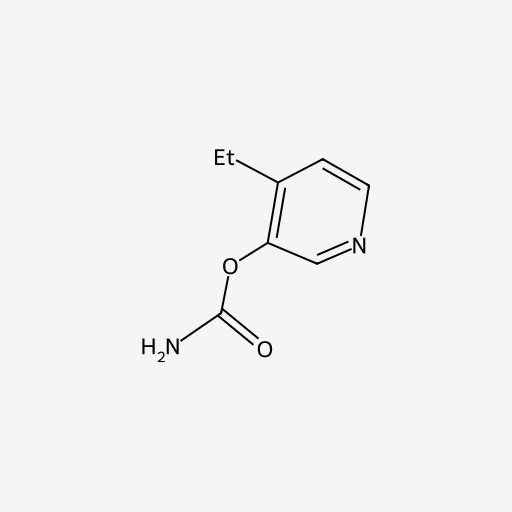 CCc1ccncc1OC(N)=O